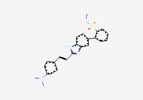 CNS(=O)(=O)c1ccccc1-c1ccc2[nH]c(C=Cc3ccc(N(C)C)cc3)nc2c1